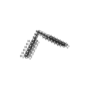 C[N+](C)(C)C.C[N+](C)(C)C.C[N+](C)(C)C.C[N+](C)(C)C.C[N+](C)(C)C.C[N+](C)(C)C.C[N+](C)(C)C.C[N+](C)(C)C.C[N+](C)(C)C.C[N+](C)(C)C.C[N+](C)(C)C.C[N+](C)(C)C.[O-]B([O-])F.[O-]B([O-])F.[O-]B([O-])F.[O-]B([O-])F.[O-]B([O-])F.[O-]B([O-])F